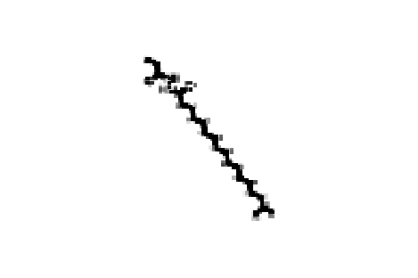 CCC(=O)NNC(=O)CCCCCCCCCCCCCCC(C)C